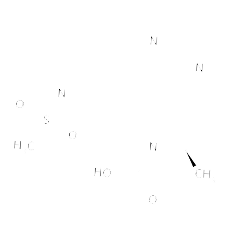 C[C@@H]1Cc2ncnc([C@H]3CCCN(S(C)(=O)=O)C3)c2CN1C(=O)O